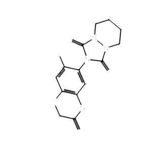 O=C1COc2cc(F)c(-n3c(=O)n4n(c3=O)CCCC4)cc2N1